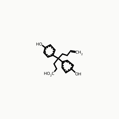 C=CCCC(CCC(=O)O)(c1ccc(O)cc1)c1ccc(O)cc1